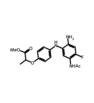 COC(=O)C(C)Oc1ccc(Nc2cc(NC(C)=O)c(F)cc2N)cc1